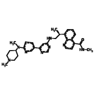 CNC(=O)c1ccnc2c([C@H](C)CNc3cc(-c4ccc(N(C)C5CCN(C)CC5)nc4)ncn3)cccc12